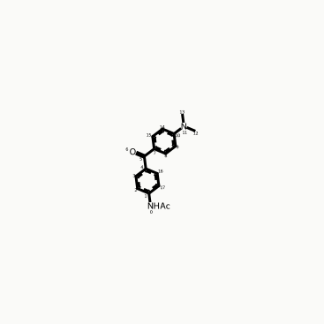 CC(=O)Nc1ccc(C(=O)c2ccc(N(C)C)cc2)cc1